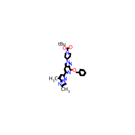 Cc1cn2nc(-c3cc4cn(C5CCN(C(=O)OC(C)(C)C)CC5)nc4c(OCc4ccccc4)n3)cc(C)c2n1